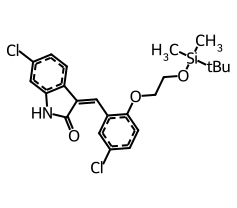 CC(C)(C)[Si](C)(C)OCCOc1ccc(Cl)cc1C=C1C(=O)Nc2cc(Cl)ccc21